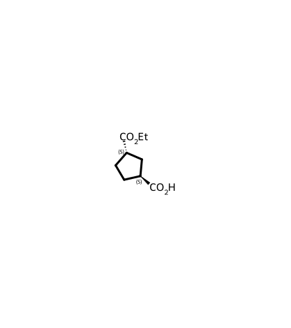 CCOC(=O)[C@H]1CC[C@H](C(=O)O)C1